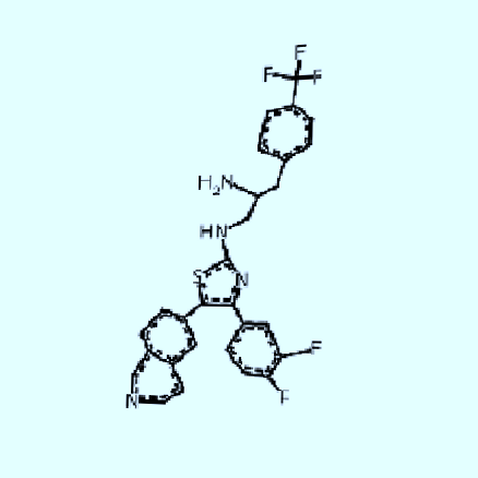 NC(CNc1nc(-c2ccc(F)c(F)c2)c(-c2ccc3cnccc3c2)s1)Cc1ccc(C(F)(F)F)cc1